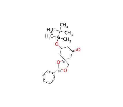 CC(C)(C)[Si](C)(C)OC1CC(=O)C[C@@]2(CO[C@H](c3ccccc3)O2)C1